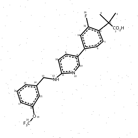 CC(C)(C(=O)O)c1ccc(-c2ccc(NCc3cccc(OC(F)(F)F)c3)nc2)cc1F